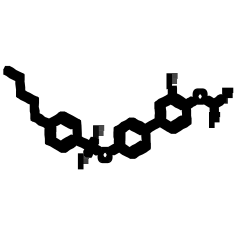 CCCCCc1ccc(C(F)(F)Oc2ccc(-c3ccc(OC(F)F)c(F)c3)cc2)cc1